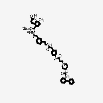 C[C@H](Cc1cccc(CCNC(=O)Cc2ccc(N(C)C(=O)CCN3CCC(OC(=O)Nc4ccccc4-c4ccccc4)CC3)cc2)c1)NC[C@H](O[Si](C)(C)C(C)(C)C)c1ccc(O)c2[nH]c(=O)ccc12